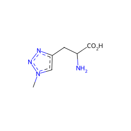 Cn1cc(CC(N)C(=O)O)nn1